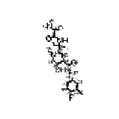 CN(C)C(=O)C(=O)NC(C)(C)C1=NC(C(=O)NCc2ccc(F)c(Cl)c2)=C(O)CN1C